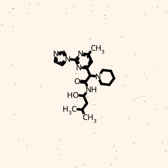 Cc1cc(C(C(=O)NC(O)CC(C)C)N2CCCCC2)nc(-n2ccnc2)n1